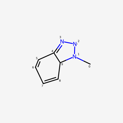 CN1[N]N=C2C=CC=CC21